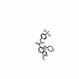 CCn1ncc2c(NC3CCOCC3)c(C(=O)NCc3ccc(S(C)(=O)=O)cc3)cnc21